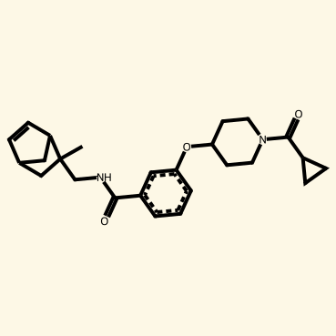 CC1(CNC(=O)c2cccc(OC3CCN(C(=O)C4CC4)CC3)c2)CC2C=CC1C2